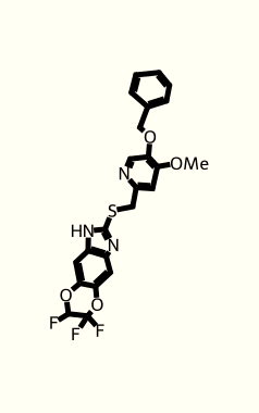 COc1cc(CSc2nc3cc4c(cc3[nH]2)OC(F)C(F)(F)O4)ncc1OCc1ccccc1